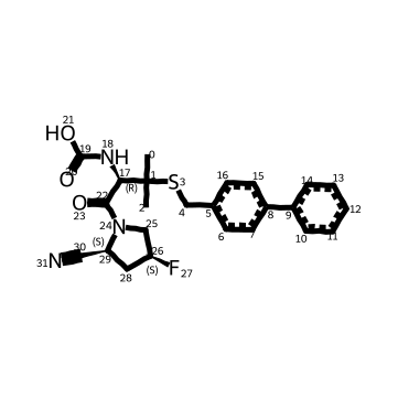 CC(C)(SCc1ccc(-c2ccccc2)cc1)[C@H](NC(=O)O)C(=O)N1C[C@@H](F)C[C@H]1C#N